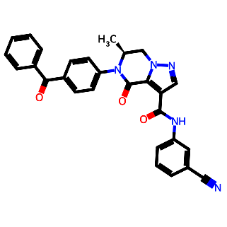 C[C@H]1Cn2ncc(C(=O)Nc3cccc(C#N)c3)c2C(=O)N1c1ccc(C(=O)c2ccccc2)cc1